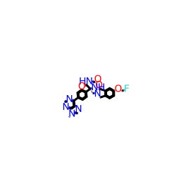 Cn1cnc2c(-c3ccc([C@]4(CN5Cc6ccc(OCF)cc6C5=O)NC(=O)NC4=O)cc3)ncnc21